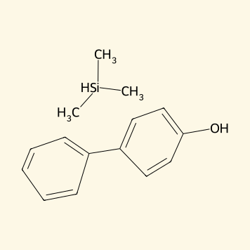 C[SiH](C)C.Oc1ccc(-c2ccccc2)cc1